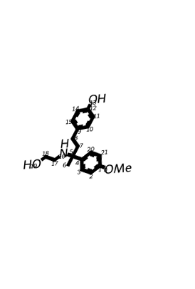 COc1ccc(C(C)(CCc2ccc(O)cc2)NCCO)cc1